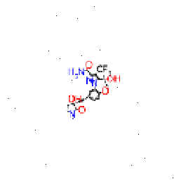 CN1CC[C@@](O)(C#Cc2ccc3c(c2)-n2nc(C(N)=O)c(C(F)(F)F)c2C(C)(O)CO3)C1=O